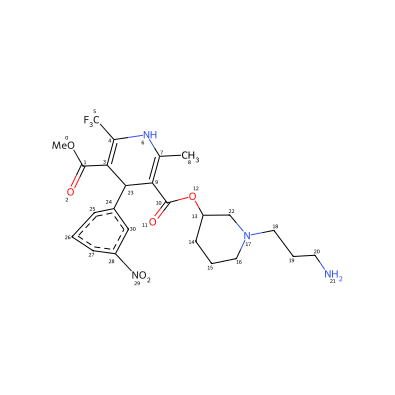 COC(=O)C1=C(C(F)(F)F)NC(C)=C(C(=O)OC2CCCN(CCCN)C2)C1c1cccc([N+](=O)[O-])c1